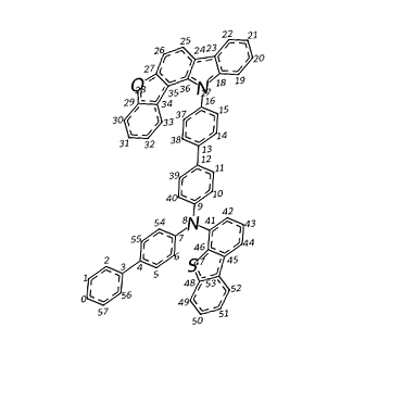 c1ccc(-c2ccc(N(c3ccc(-c4ccc(-n5c6ccccc6c6ccc7oc8ccccc8c7c65)cc4)cc3)c3cccc4c3sc3ccccc34)cc2)cc1